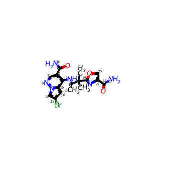 C[C@@H](Nc1c(C(N)=O)cnn2cc(Br)cc12)C(C)(C)c1nc(C(N)=O)co1